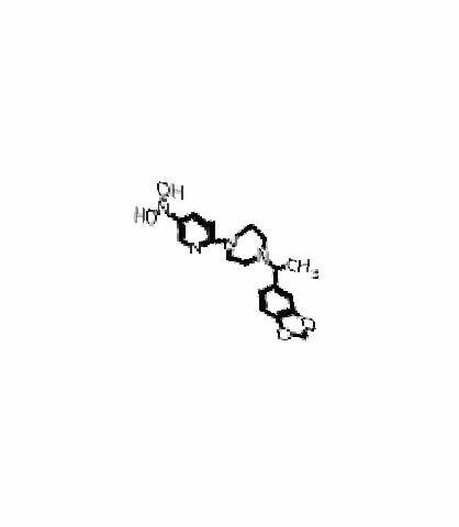 CC(c1ccc2c(c1)OCO2)N1CCN(c2ccc(N(O)O)cn2)CC1